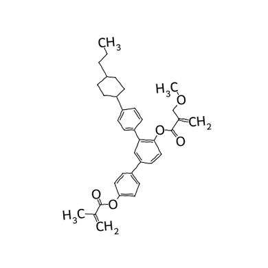 C=C(C)C(=O)Oc1ccc(-c2ccc(OC(=O)C(=C)COC)c(-c3ccc(C4CCC(CCC)CC4)cc3)c2)cc1